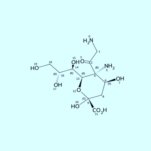 NCC(=O)[C@@]1(N)[C@@H](O)C[C@@](O)(C(=O)O)O[C@H]1[C@H](O)[C@H](O)CO